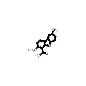 Cc1ccc2[nH]c3c(C(N)=O)c(C(=O)O)ccc3c2c1